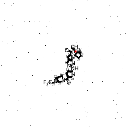 CN(C)C(=O)c1cc2cnc(Nc3ccc(C(=O)N4CC5CC(C4)N(CC(F)(F)F)C5)cn3)nc2n1C1CCCC1